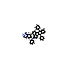 c1ccc(-c2c3c(c(-c4ccccc4)c4ccccc24)-c2ccc(N(c4ccccc4)c4ccc5cnccc5c4)c4cccc-3c24)cc1